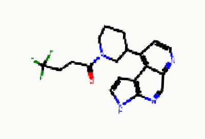 O=C(CCC(F)(F)F)N1CCCC(c2ccnc3cnc4[nH]ccc4c23)C1